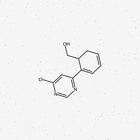 OCC1CC=CC=C1c1cc(Cl)ncn1